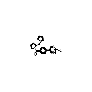 COc1ncc(-c2ccc(C(=O)N3CCC[C@H]3CN3CCCC3)cc2)cn1